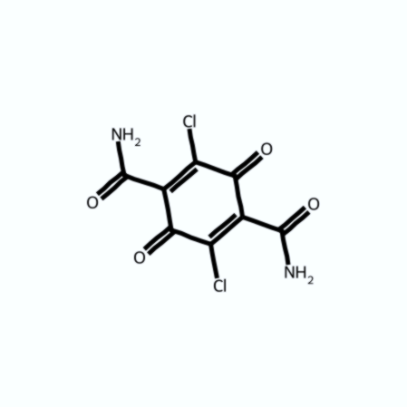 NC(=O)C1=C(Cl)C(=O)C(C(N)=O)=C(Cl)C1=O